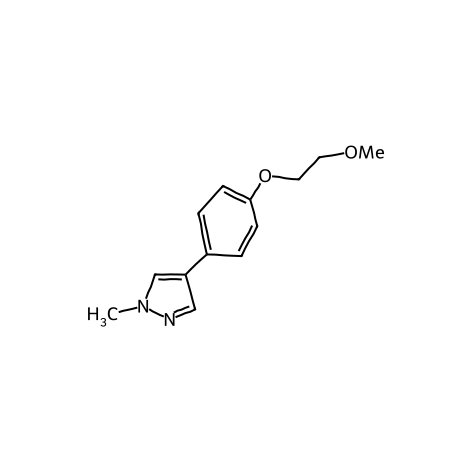 COCCOc1ccc(-c2cnn(C)c2)cc1